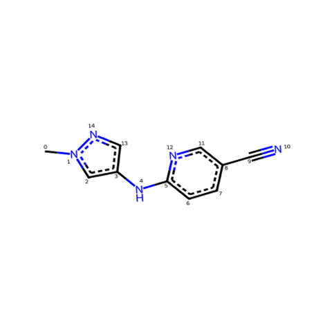 Cn1cc(Nc2ccc(C#N)cn2)cn1